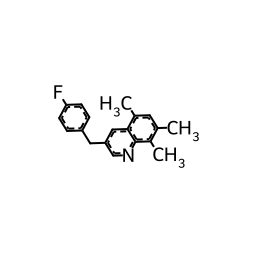 Cc1cc(C)c2cc(Cc3ccc(F)cc3)cnc2c1C